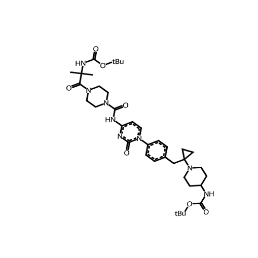 CC(C)(C)OC(=O)NC1CCN(C2(Cc3ccc(-n4ccc(NC(=O)N5CCN(C(=O)C(C)(C)NC(=O)OC(C)(C)C)CC5)nc4=O)cc3)CC2)CC1